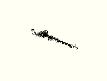 CCCCCCCCCCCCCCCOC(=O)CCC(=O)N1CCN(CCCCl)CC1